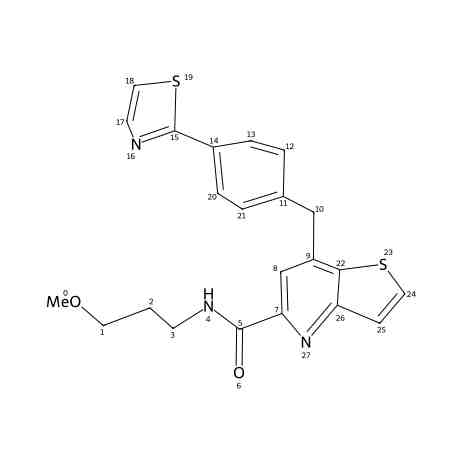 COCCCNC(=O)c1cc(Cc2ccc(-c3nccs3)cc2)c2sccc2n1